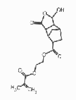 C=C(C)C(=O)OCCOC(=O)C1CC2CC1C1C(=O)OC(O)C21